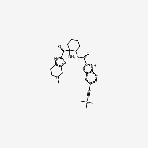 CN1CCc2nc(C(=O)C3(N)CCCCC3NC(=O)c3cc4cc(C#C[Si](C)(C)C)ccc4[nH]3)sc2C1